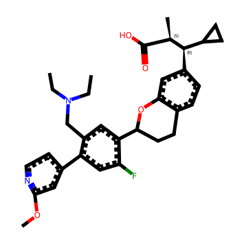 CCN(CC)Cc1cc(C2CCc3ccc([C@H](C4CC4)[C@H](C)C(=O)O)cc3O2)c(F)cc1-c1ccnc(OC)c1